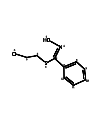 ON=C(SCCCl)c1ccccc1